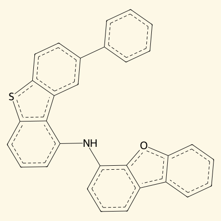 c1ccc(-c2ccc3sc4cccc(Nc5cccc6c5oc5ccccc56)c4c3c2)cc1